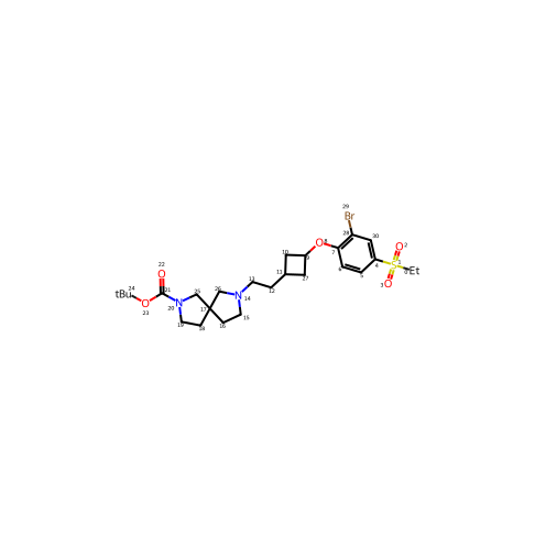 CCS(=O)(=O)c1ccc(OC2CC(CCN3CCC4(CCN(C(=O)OC(C)(C)C)C4)C3)C2)c(Br)c1